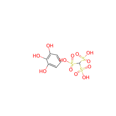 O=S(=O)(O)C(S(=O)(=O)O)S(=O)(=O)O.Oc1cccc(O)c1O